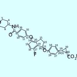 O=C(NC1CCOCC1)c1ccc(Oc2ccc(F)c3c2CC[C@H]3Oc2ccc([C@H]3C[C@@H]3C(=O)O)cc2)cc1